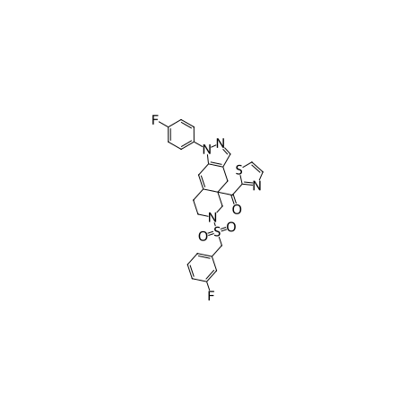 O=C(c1nccs1)C12Cc3cnn(-c4ccc(F)cc4)c3C=C1CCN(S(=O)(=O)Cc1cccc(F)c1)C2